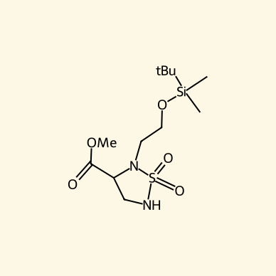 COC(=O)C1CNS(=O)(=O)N1CCO[Si](C)(C)C(C)(C)C